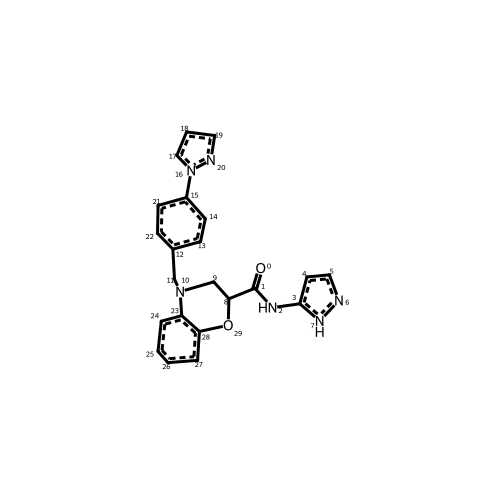 O=C(Nc1ccn[nH]1)C1CN(Cc2ccc(-n3cccn3)cc2)c2ccccc2O1